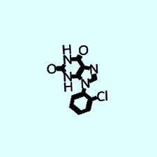 O=c1[nH]c(=O)c2ncn(-c3ccccc3Cl)c2[nH]1